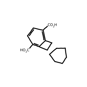 C1CCCCC1.O=C(O)c1ccc(C(=O)O)c2c1CC2